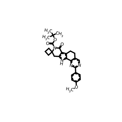 COc1ccc(-c2ncc3c(n2)-c2[nH]c4c(c2CC3)C(=O)N(C(=O)OC(C)(C)C)C2(CCC2)C4)cc1